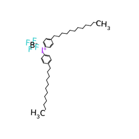 CCCCCCCCCCCCc1ccc([I+]c2ccc(CCCCCCCCCCCC)cc2)cc1.F[B-](F)(F)F